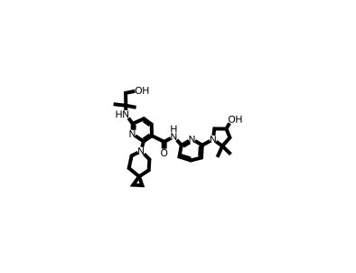 CC(C)(CO)Nc1ccc(C(=O)Nc2cccc(N3CC(O)CC3(C)C)n2)c(N2CCC3(CC2)CC3)n1